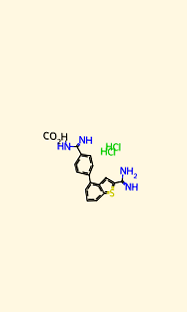 Cl.Cl.N=C(NC(=O)O)c1ccc(-c2cccc3sc(C(=N)N)cc23)cc1